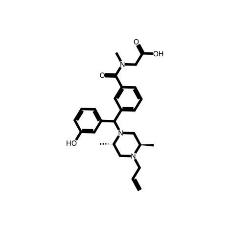 C=CCN1C[C@H](C)N(C(c2cccc(O)c2)c2cccc(C(=O)N(C)CC(=O)O)c2)C[C@H]1C